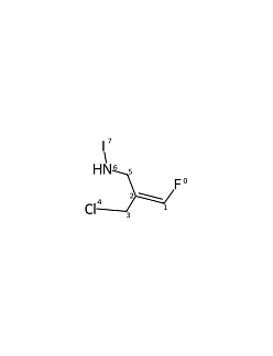 F/C=C(/CCl)CNI